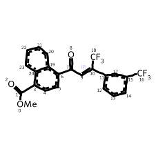 COC(=O)c1ccc(C(=O)/C=C(/c2cccc(C(F)(F)F)c2)C(F)(F)F)c2ccccc12